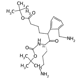 CC(C)(C)OC(=O)CCCC(C(=O)[C@H](CCCCN)NC(=O)OC(C)(C)C)c1ccccc1CN